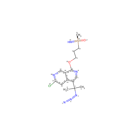 CC(C)(N=[N+]=[N-])c1cnc(OCCC[S@](C)(=N)=O)c2cnc(Cl)cc12